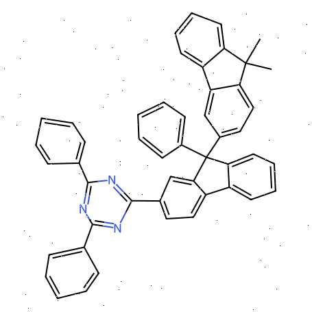 CC1(C)c2ccccc2-c2cc(C3(c4ccccc4)c4ccccc4-c4ccc(-c5nc(-c6ccccc6)nc(-c6ccccc6)n5)cc43)ccc21